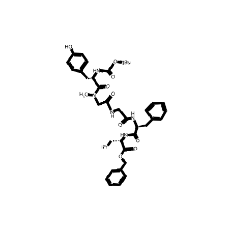 CC(C)C[C@H](NC(=O)[C@H](Cc1ccccc1)NC(=O)CNC(=O)CN(C)C(=O)[C@H](Cc1ccc(O)cc1)NC(=O)OC(C)(C)C)C(=O)OCc1ccccc1